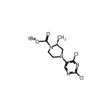 C[C@H]1CN(c2cnc(Cl)nc2Cl)CCN1C(=O)OC(C)(C)C